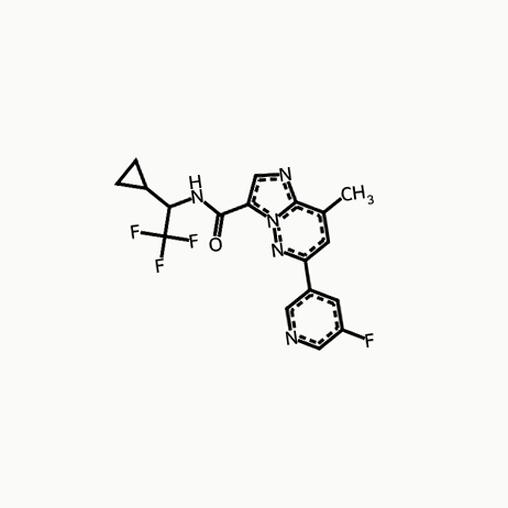 Cc1cc(-c2cncc(F)c2)nn2c(C(=O)NC(C3CC3)C(F)(F)F)cnc12